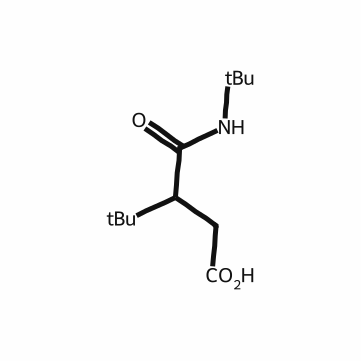 CC(C)(C)NC(=O)C(CC(=O)O)C(C)(C)C